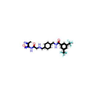 Cc1nonc1NC(=O)CNCC1CCC(CNC(=O)c2cc(C(F)(F)F)cc(C(F)(F)F)c2)CC1